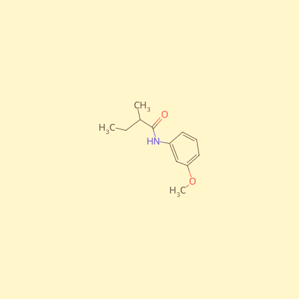 CCC(C)C(=O)Nc1cccc(OC)c1